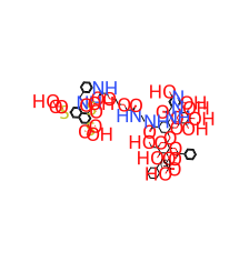 CC1OC(OC2C(NC(=O)c3cc(O)nc(O)n3)CC(C(=O)NCCNC(=O)COCCOCC(=O)Nc3cccc(CNc4cc(SOOO)cc5cc(S(=O)(=O)O)cc(S(=O)(=O)O)c45)c3)CC2OC2OC(CO)C(O)C(O[C@@H](CC3CCCCC3)C(=O)O)C2OC(=O)c2ccccc2)C(O)C(O)C1O